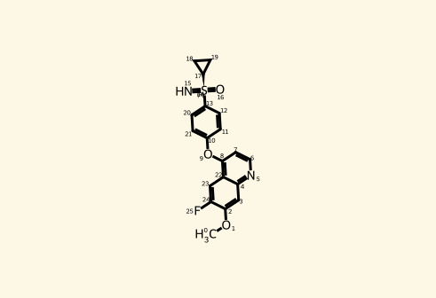 COc1cc2nccc(Oc3ccc([S@](=N)(=O)C4CC4)cc3)c2cc1F